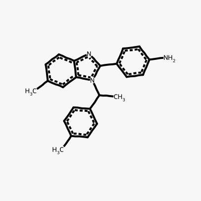 Cc1ccc(C(C)n2c(-c3ccc(N)cc3)nc3ccc(C)cc32)cc1